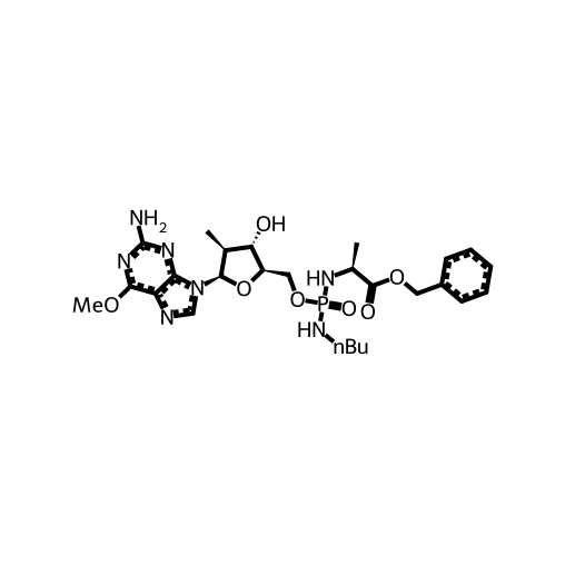 CCCCNP(=O)(N[C@@H](C)C(=O)OCc1ccccc1)OC[C@H]1O[C@@H](n2cnc3c(OC)nc(N)nc32)[C@@H](C)[C@@H]1O